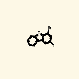 Brc1cc(I)cc2c1oc1ccccc12